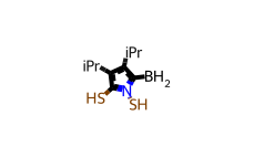 Bc1c(C(C)C)c(C(C)C)c(S)n1S